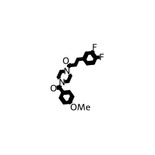 COc1ccc(C(=O)N2CCN(C(=O)CCc3ccc(F)c(F)c3)CC2)cc1